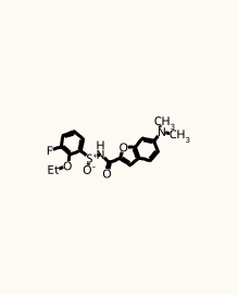 CCOc1c(F)cccc1[S+]([O-])NC(=O)c1cc2ccc(N(C)C)cc2o1